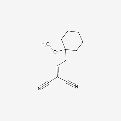 COC1(CC=C(C#N)C#N)CCCCC1